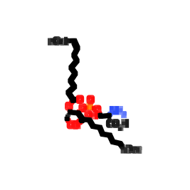 CCCCCCCC/C=C\CCCCCCCC(=O)O[C@@H](CO)C(OP(=O)(O)OC[C@H](N)C(=O)O)C(=O)CCCCCCCCCCCCCCCCC